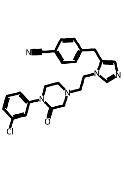 N#Cc1ccc(Cc2cncn2CCN2CCN(c3cccc(Cl)c3)C(=O)C2)cc1